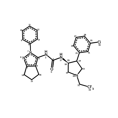 O=C(Nc1c2c(nn1-c1ccccc1)CCC2)N[C@@H]1CN(CC(F)(F)F)CC1c1cccc(Cl)c1